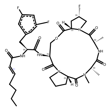 CCCC/C=C/C(=O)N[C@@H](Cc1cc(F)cc(F)c1)C(=O)N[C@H]1COC(=O)[C@@H]2C[C@H](F)CN2C(=O)[C@H](C)NC(=O)[C@H](C)N(C)C(=O)[C@@H]2CCCN2C1=O